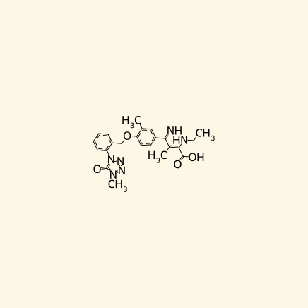 CCN/C(C(=O)O)=C(/C)C(=N)c1ccc(OCc2ccccc2-n2nnn(C)c2=O)c(C)c1